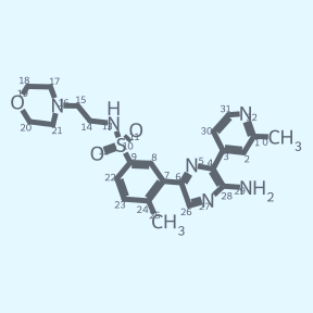 Cc1cc(-c2nc(-c3cc(S(=O)(=O)NCCN4CCOCC4)ccc3C)cnc2N)ccn1